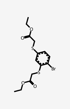 CCOC(=O)CSc1ccc(Br)c(SCC(=O)OCC)c1